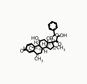 C[C@H]1C[C@@H]2[C@H]([C@@H](O)C[C@@]3(C)[C@H]2C[C@H](C)[C@]3(OC(=O)c2ccccc2)C(=O)CO)[C@@]2(C)C=CC(=O)C=C12